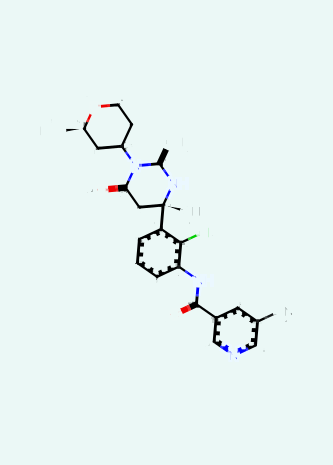 C=C1N[C@](C)(c2cccc(NC(=O)c3cncc(C#N)c3)c2Cl)CC(=O)N1C1CCO[C@H](C)C1